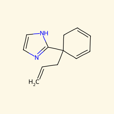 C=CCC1(c2ncc[nH]2)C=CC=CC1